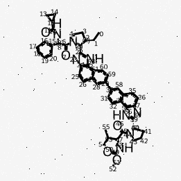 CC[C@@H]1CCN(C(=O)[C@H](NC(=O)C2CC2)c2ccccc2)[C@@H]1c1nc2ccc3cc(-c4ccc5c(ccc6nc([C@@H]7CCCN7C(=O)C(NC(=O)OC)C(C)C)[nH]c65)c4)ccc3c2[nH]1